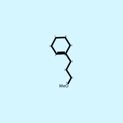 COCCCC1=CCCCC1